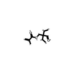 C=C(C)C(=O)OCC(C=O)(CC)CC